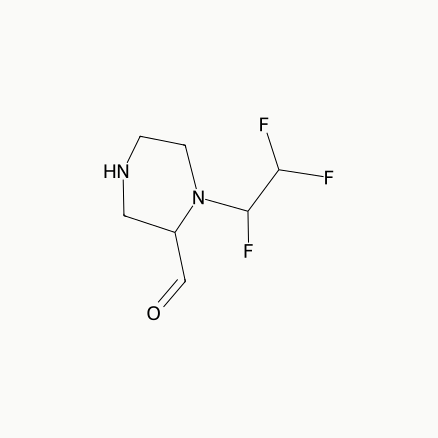 O=CC1CNCCN1C(F)C(F)F